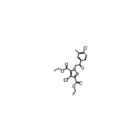 CCOC(=O)c1nn(CC(=O)c2ccc(Cl)c(C)c2)c(C(=O)OCC)c1Cl